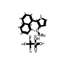 CCCCOc1ccsc1-c1cccc2ccccc12.O=S(=O)(O)C(F)(F)F